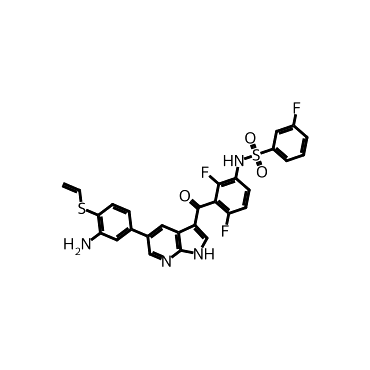 C=CSc1ccc(-c2cnc3[nH]cc(C(=O)c4c(F)ccc(NS(=O)(=O)c5cccc(F)c5)c4F)c3c2)cc1N